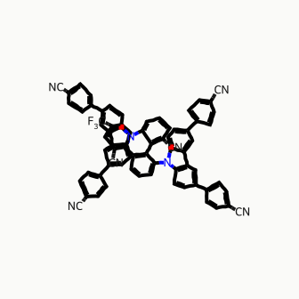 N#Cc1ccc(-c2ccc3c(c2)c2cc(-c4ccc(C#N)cc4)ccc2n3-c2cccc(C#N)c2-c2c(-c3ccc(C(F)(F)F)cc3C#N)cccc2-n2c3ccc(-c4ccc(C#N)cc4)cc3c3cc(-c4ccc(C#N)cc4)ccc32)cc1